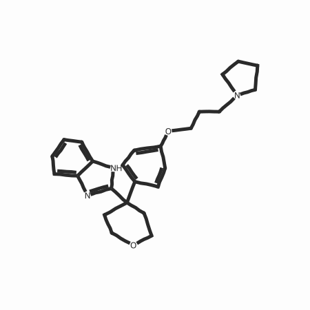 c1ccc2[nH]c(C3(c4ccc(OCCCN5CCCC5)cc4)CCOCC3)nc2c1